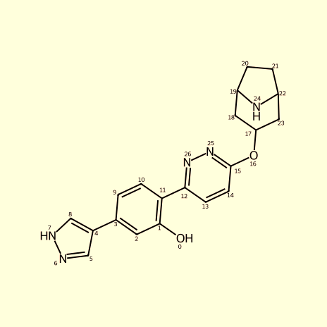 Oc1cc(-c2cn[nH]c2)ccc1-c1ccc(OC2CC3CCC(C2)N3)nn1